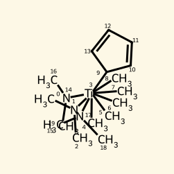 C[N](C)[Ti]([CH3])([CH3])([CH3])([CH3])([CH3])([CH]1C=CC=C1)([N](C)C)[N](C)C